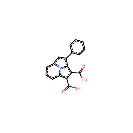 O=C(O)c1c(C(=O)O)c2c(-c3ccccc3)cc3cccc1n32